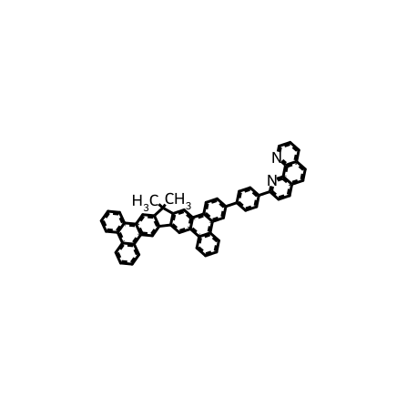 CC1(C)c2cc3c4ccccc4c4ccccc4c3cc2-c2cc3c4ccccc4c4cc(-c5ccc(-c6ccc7ccc8cccnc8c7n6)cc5)ccc4c3cc21